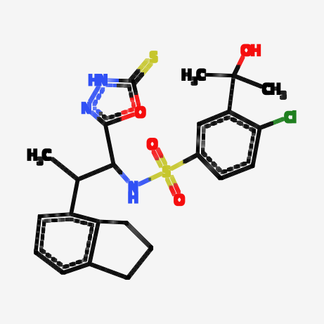 CC(c1cccc2c1CCC2)C(NS(=O)(=O)c1ccc(Cl)c(C(C)(C)O)c1)c1n[nH]c(=S)o1